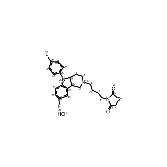 Cl.O=C1CSC(=O)N1CCCCN1CCC2C(C1)c1cc(F)ccc1N2c1ccc(F)cc1